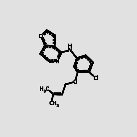 CC(C)=CCOc1cc(Nc2nccc3occc23)ccc1Cl